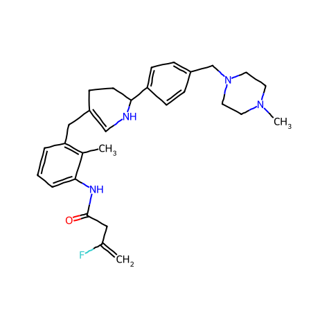 C=C(F)CC(=O)Nc1cccc(CC2=CNC(c3ccc(CN4CCN(C)CC4)cc3)CC2)c1C